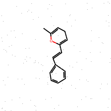 CC1=CCC=C(C=Cc2ccccc2)O1